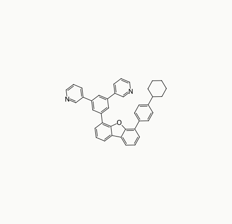 c1cncc(-c2cc(-c3cccnc3)cc(-c3cccc4c3oc3c(-c5ccc(C6CCCCC6)cc5)cccc34)c2)c1